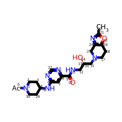 CC(=O)N1CCC(Nc2cc(C(=O)NC[C@H](O)CN3CCc4oc(C)nc4C3)ncn2)CC1